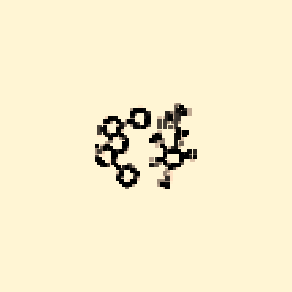 Cl.Cl.O=C1C=C(N2CC2)C(=O)C(N2CC2)=C1N1CC1.[Ru].c1ccc(-c2ccnc3c2ccc2c(-c4ccccc4)ccnc23)cc1